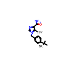 CCCc1c(C(N)=O)ncn1Cc1ccc(C(C)(C)C#N)cc1